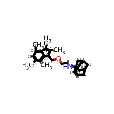 CC1=C(C)C(COCCNC23CC4CC(CC(C4)C2)C3)c2c(C)c(C)[c]c(C)c21